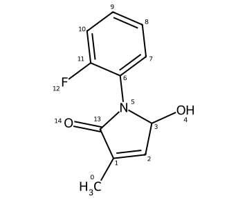 CC1=CC(O)N(c2ccccc2F)C1=O